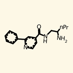 CCCC(N)CNC(=O)c1ccnc(-c2ccccc2)c1